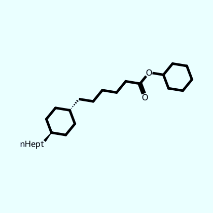 CCCCCCC[C@H]1CC[C@H](CCCCCC(=O)OC2CCCCC2)CC1